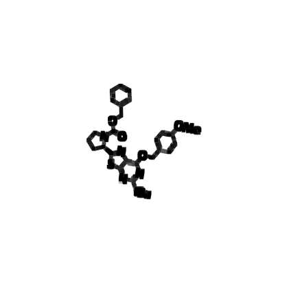 COc1ccc(COc2nc(C(C)(C)C)nc3sc([C@H]4CCCN4C(=O)OCc4ccccc4)nc23)cc1